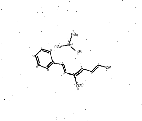 CCC[CH2][Sn+]([CH2]CCC)[CH2]CCC.N#CC=CC=C(C=Cc1ccccc1)C(=O)[O-]